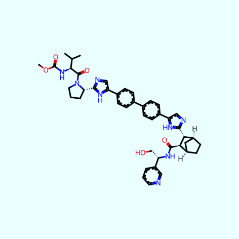 COC(=O)N[C@H](C(=O)N1CCC[C@H]1c1ncc(-c2ccc(-c3ccc(-c4cnc([C@@H]5[C@H]6CC[C@H](C6)[C@H]5C(=O)N[C@@H](CO)c5cccnc5)[nH]4)cc3)cc2)[nH]1)C(C)C